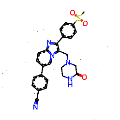 CS(=O)(=O)c1ccc(-c2nc3ccc(-c4ccc(C#N)cc4)cn3c2CN2CCNC(=O)C2)cc1